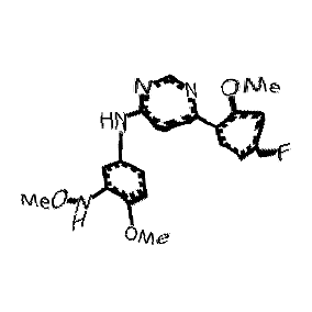 CONc1cc(Nc2cc(-c3ccc(F)cc3OC)ncn2)ccc1OC